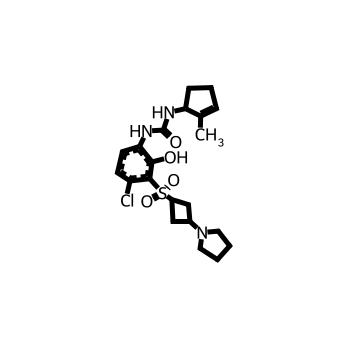 CC1=CCCC1NC(=O)Nc1ccc(Cl)c(S(=O)(=O)C2CC(N3CCCC3)C2)c1O